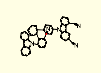 N#Cc1ccc2c(c1)c1c(C#N)cccc1n2-c1ccc(-c2ccccc2-c2c(C#N)cccc2-n2c3ccccc3c3ccccc32)cc1